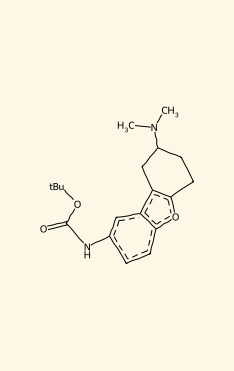 CN(C)C1CCc2oc3ccc(NC(=O)OC(C)(C)C)cc3c2C1